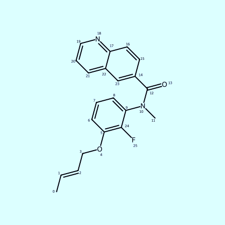 CC=CCOc1cccc(N(C)C(=O)c2ccc3ncccc3c2)c1F